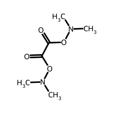 CN(C)OC(=O)C(=O)ON(C)C